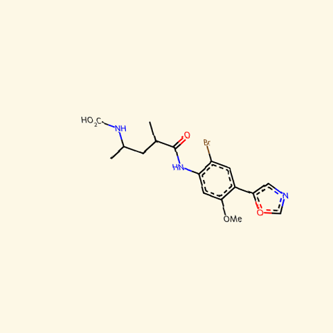 COc1cc(NC(=O)C(C)CC(C)NC(=O)O)c(Br)cc1-c1cnco1